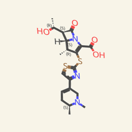 C[C@@H](O)[C@H]1C(=O)N2C(C(=O)O)=C(Sc3nc(C4=CC[C@H](C)N(C)C4)cs3)[C@H](C)[C@H]12